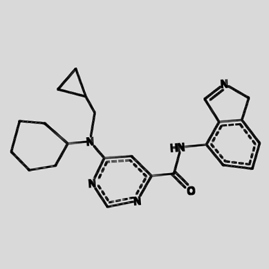 O=C(Nc1cccc2c1C=NC2)c1cc(N(CC2CC2)C2CCCCC2)ncn1